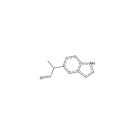 CC(C=O)c1ccc2[nH]ccc2c1